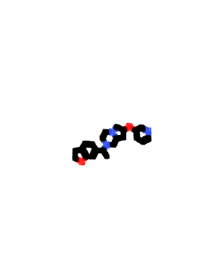 CC(c1ccc2c(c1)OCC2)N1CCN2CC(Oc3cccnc3)CC2C1